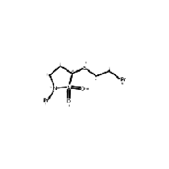 CC(C)CCSC1CCN(C(C)C)S1(=O)=O